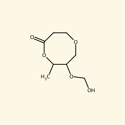 CC1OC(=O)CCOCC1OCO